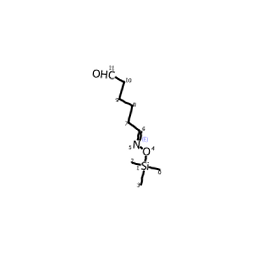 C[Si](C)(C)O/N=C/CCCCC=O